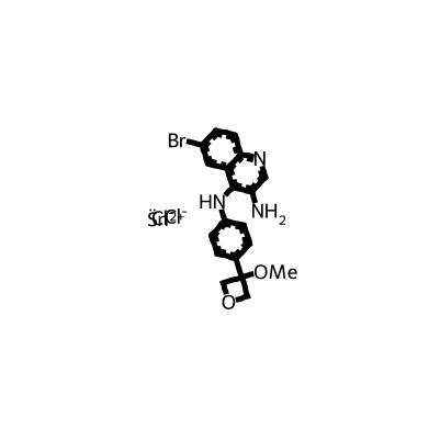 COC1(c2ccc(Nc3c(N)cnc4ccc(Br)cc34)cc2)COC1.[Cl-].[Cl-].[Sn+2]